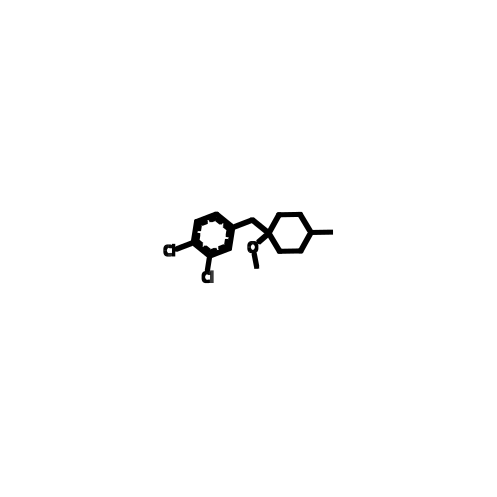 COC1(Cc2ccc(Cl)c(Cl)c2)CCC(C)CC1